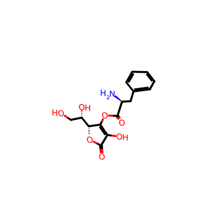 N[C@@H](Cc1ccccc1)C(=O)OC1=C(O)C(=O)O[C@@H]1[C@@H](O)CO